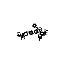 O=C(c1ccoc1)N1CCCC(N2CCN(C3CCN(C(=O)c4cc(C(F)(F)F)cc(C(F)(F)F)c4)C(Cc4ccccc4)C3)CC2)CC1